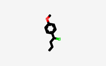 CCCC(Cl)c1ccc(OC)cc1